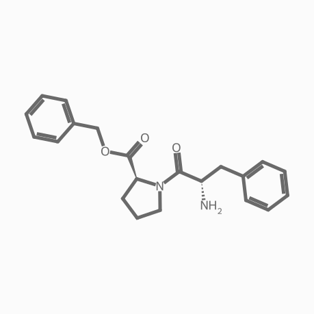 N[C@@H](Cc1ccccc1)C(=O)N1CCC[C@H]1C(=O)OCc1ccccc1